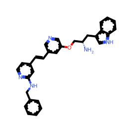 N[C@H](COc1cncc(/C=C/c2ccnc(NCc3ccccc3)c2)c1)Cc1c[nH]c2ccccc12